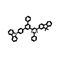 CC1(C)c2ccccc2-c2ccc(-c3cc(-c4cc(-c5ccccc5)cc(-c5ccc(-n6c7ccccc7c7ccccc76)cc5)c4)nc(-c4ccccc4)n3)cc21